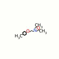 Cc1ccc(OCCCN2CC(C)OC(C)C2)cc1